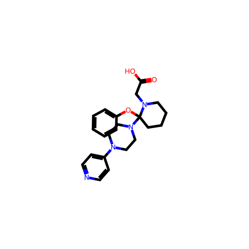 O=C(O)CN1CCCCC1(Oc1ccccc1)N1CCN(c2ccncc2)CC1